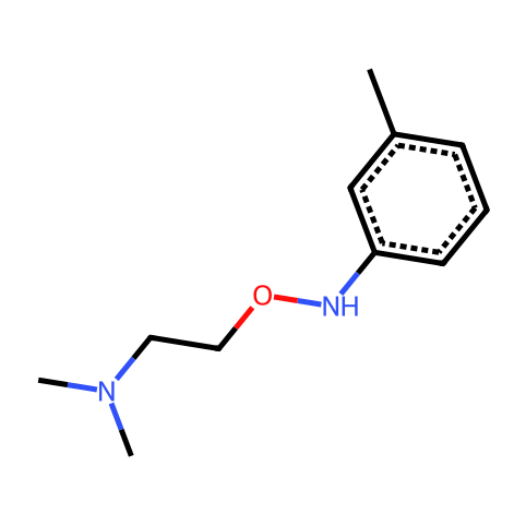 Cc1cccc(NOCCN(C)C)c1